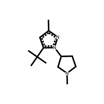 Cc1cc(C(C)(C)C)n(C2CCN(C)C2)n1